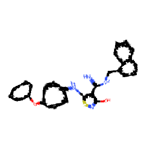 N=C(NCc1cccc2ccccc12)c1c(O)nsc1Nc1ccc(Oc2ccccc2)cc1